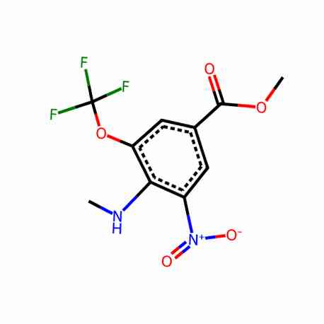 CNc1c(OC(F)(F)F)cc(C(=O)OC)cc1[N+](=O)[O-]